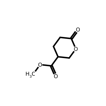 COC(=O)C1CCC(=O)OC1